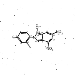 Cc1ccc(-n2nc3c([N+](=O)[O-])cc([N+](=O)[O-])cc3[n+]2[O-])c(C)c1